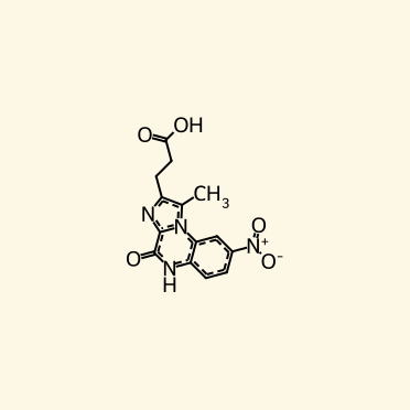 Cc1c(CCC(=O)O)nc2c(=O)[nH]c3ccc([N+](=O)[O-])cc3n12